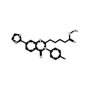 CC(C)(C)OC(=O)CCCCc1nc2cc(-c3nccs3)ccc2c(=O)n1-c1ccc(F)cc1